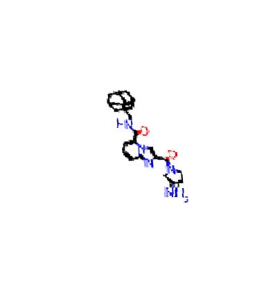 N[C@H]1CCN(C(=O)c2cn3c(C(=O)NCC45CC6CC(CC(C6)C4)C5)cccc3n2)C1